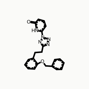 O=c1cccc(-n2nnc(CCc3ccccc3OCc3ccccc3)n2)[nH]1